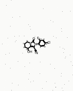 N#Cc1c2n(c(=O)n1-c1ccc(Cl)cc1F)CCCC2O